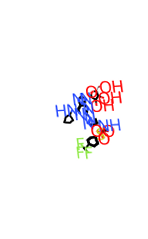 O=C(Nc1cnn(-c2nc(NC3CCCC3)c3ncn([C@@H]4O[C@H](CO)C(O)C4O)c3n2)c1)S(=O)(=O)c1ccc(C(F)(F)F)cc1